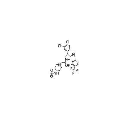 CN(Cc1ccc(C(F)(F)F)c(F)c1)C1CN(C(=O)CN2CCC(NS(C)(=O)=O)CC2)CC1c1ccc(Cl)c(Cl)c1